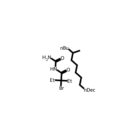 CCC(Br)(CC)C(=O)NC(N)=O.CCCCCCCCCCCCCCCC(C)CCCC